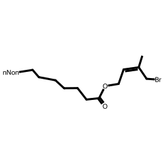 CCCCCCCCCCCCCCCC(=O)OCC=C(C)CBr